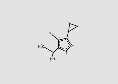 CC(N)c1noc(C2CC2)c1I